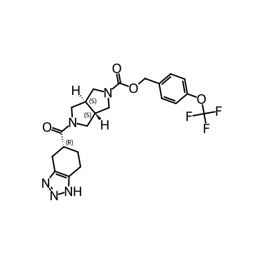 O=C(OCc1ccc(OC(F)(F)F)cc1)N1C[C@@H]2CN(C(=O)[C@@H]3CCc4[nH]nnc4C3)C[C@H]2C1